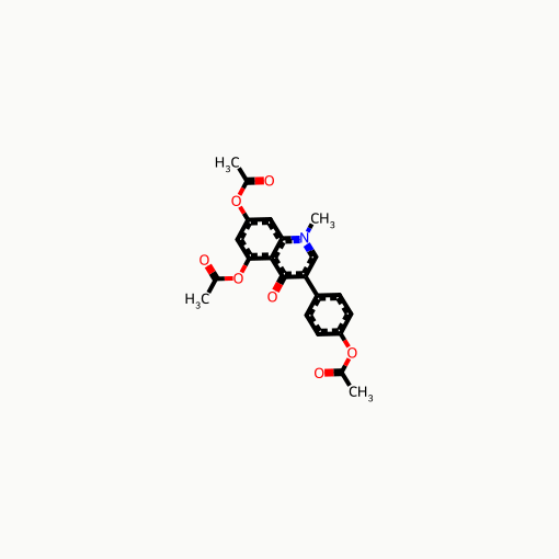 CC(=O)Oc1ccc(-c2cn(C)c3cc(OC(C)=O)cc(OC(C)=O)c3c2=O)cc1